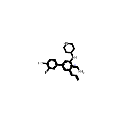 C=C/C=c1/cc(-c2ccc(O)c(F)c2)cc(NC2CCNCC2)/c1=C/N